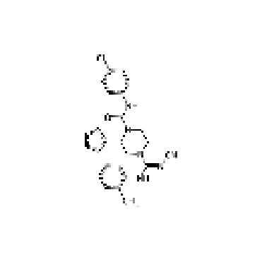 Cc1ccccc1N/C(=N/C#N)N1CCN(C(=O)Nc2ccc(Cl)cc2)C(c2cccs2)C1